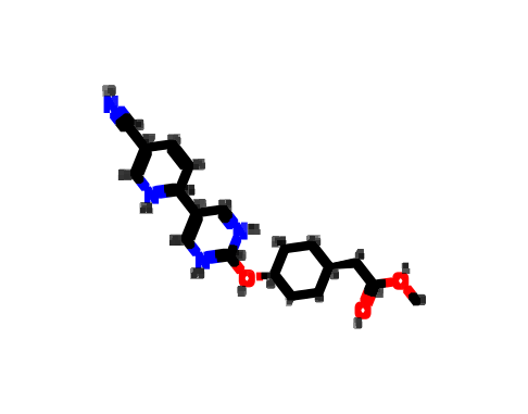 COC(=O)C[C@H]1CC[C@H](Oc2ncc(-c3ccc(C#N)cn3)cn2)CC1